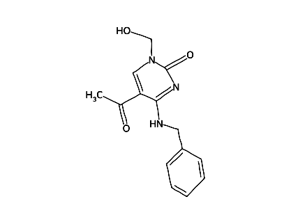 CC(=O)c1cn(CO)c(=O)nc1NCc1ccccc1